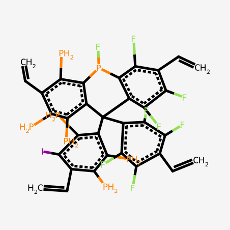 C=Cc1c(F)c(F)c(C2(c3c(P)c(P)c(C=C)c(I)c3P)c3c(F)c(F)c(C=C)c(F)c3P(F)c3c(P)c(C=C)c(P)c(P)c32)c(F)c1F